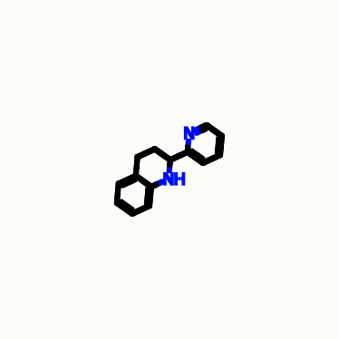 c1ccc(C2CCc3ccccc3N2)nc1